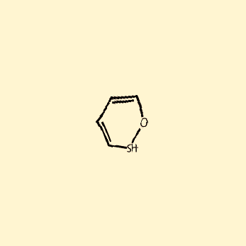 C1=CO[SH]C=C1